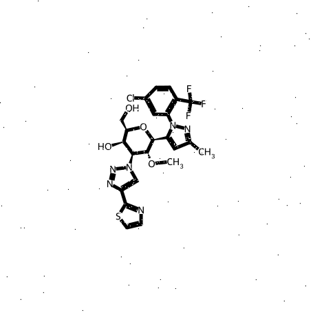 CO[C@@H]1[C@@H](n2cc(-c3nccs3)nn2)[C@@H](O)[C@@H](CO)O[C@H]1c1cc(C)nn1-c1cc(Cl)ccc1C(F)(F)F